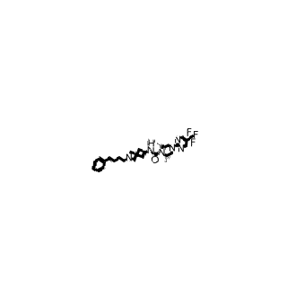 C[C@@H]1CN(c2ncc(C(F)(F)F)cn2)C[C@H](C)N1C(=O)NC1CC2(C1)CN(CCCCc1ccccc1)C2